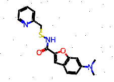 CN(C)c1ccc2cc(C(=O)NSCc3ccccn3)oc2c1